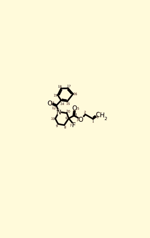 C=CCOC(=O)C1(F)CCCN(C(=O)c2ccccc2)C1